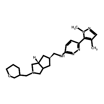 Cc1cnn(C)c1-c1ccc(NC[C@H]2CC3CN(CC4CCCOC4)C[C@@H]3C2)nn1